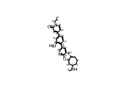 CNC1CCCC(F)[C@@H](Oc2ccc(-c3ccc(-c4ccn(CF)c(=O)c4)cc3O)nn2)C1